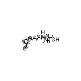 Cn1nc(CO)nc1NCCCCCOc1cccc(C=O)c1